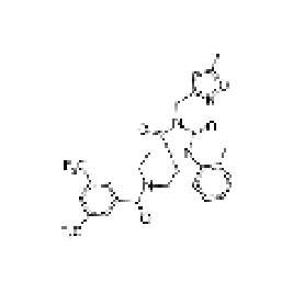 Cc1cc(CN2C(=O)N(c3ccccc3C)C3(CCN(C(=O)c4cc(C(F)(F)F)cc(C(F)(F)F)c4)CC3)C2=O)no1